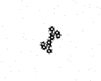 c1ccc(-c2cc3cc(-c4ccc5c(c4)cc(-c4ccccc4)n5-c4cccc5ccccc45)ccc3n2-c2cccc3ccccc23)cc1